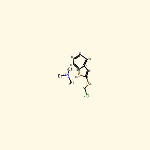 CCN(CC)CC.ClCSc1cc2ccccc2s1